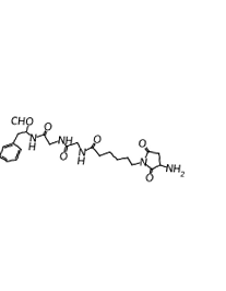 NC1CC(=O)N(CCCCCC(=O)NCC(=O)NCC(=O)NC(C=O)Cc2ccccc2)C1=O